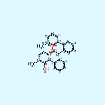 Cc1cccc(-c2ccccc2C(C(=O)O)c2ccccc2-c2cccc(C)c2O)c1O